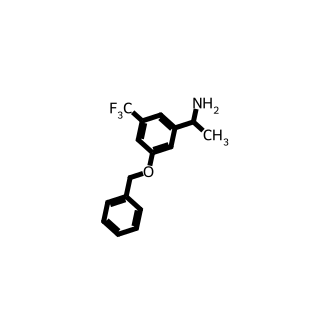 CC(N)c1cc(OCc2ccccc2)cc(C(F)(F)F)c1